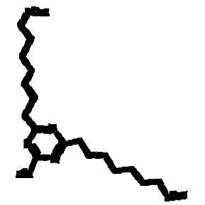 [CH2]CCCc1nc(CCCCCCCCCCCCCCCCC)nc(CCCCCCCCCCCCCCCCC)n1